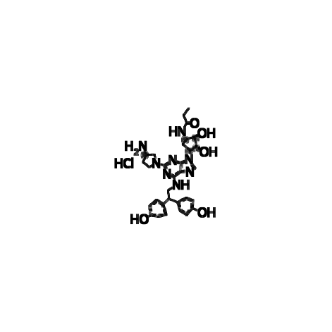 CCC(=O)N[C@H]1C[C@@H](n2cnc3c(NCC(c4ccc(O)cc4)c4ccc(O)cc4)nc(N4CC[C@@H](N)C4)nc32)[C@H](O)[C@@H]1O.Cl